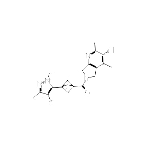 Cc1nc2c(c(C)c1Cl)CN(C(=O)C13CC(c4c(Cl)c(C)nn4C)(C1)C3)C2